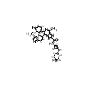 Cc1cnc2ccc(-c3c(-c4ccc(F)cc4)nc(N)c4nc(C(=O)NC56CC(CN7CCC(F)(F)CC7)(C5)C6)cn34)cn12